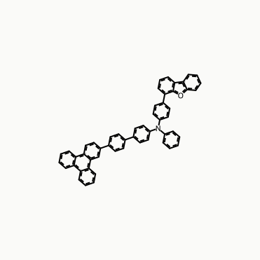 c1ccc(N(c2ccc(-c3ccc(-c4ccc5c6ccccc6c6ccccc6c5c4)cc3)cc2)c2ccc(-c3cccc4c3oc3ccccc34)cc2)cc1